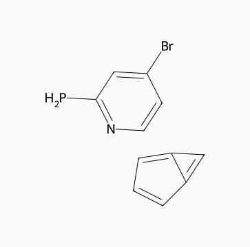 Pc1cc(Br)ccn1.c1cc2cc-2c1